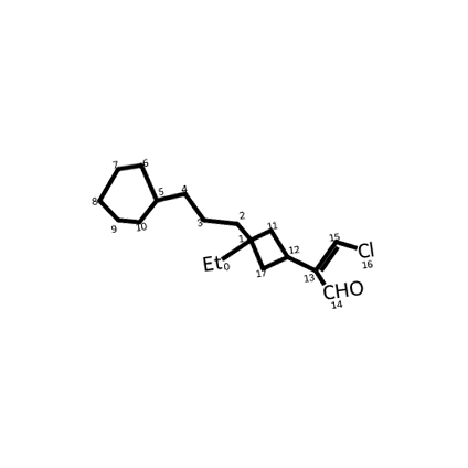 CCC1(CCCC2CCCCC2)CC(C(C=O)=CCl)C1